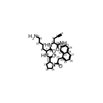 C#CCC(NC(=O)C(CCCCN)NC(=O)C1CCCN1C(=O)Cc1cccc2ccccc12)C(N)=O